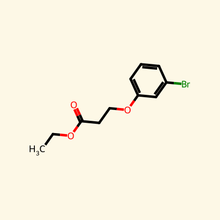 CCOC(=O)CCOc1cccc(Br)c1